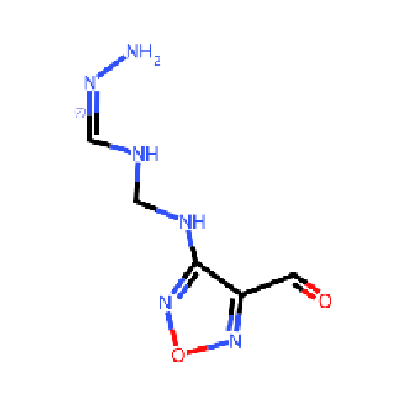 N/N=C\NCNc1nonc1C=O